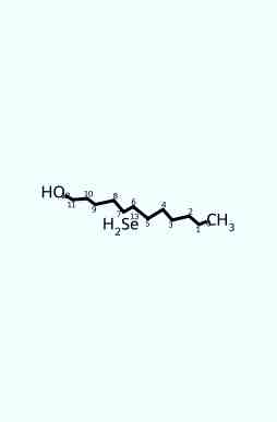 CCCCCCCCCCCCO.[SeH2]